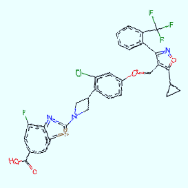 O=C(O)c1cc(F)c2nc(N3CC(c4ccc(OCc5c(-c6ccccc6C(F)(F)F)noc5C5CC5)cc4Cl)C3)sc2c1